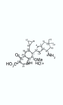 COc1c(-c2cc3c(s2)C(N)CC(C)(C)C3)c(C2CC2)cc2c(=O)c(C(=O)O)c[nH]c12.Cl